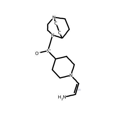 N/C=C\N1CCC([S+]([O-])N2CCN3CCC2CC3)CC1